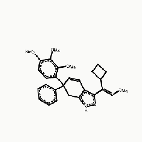 CO/N=C(/c1n[nH]c2c1C=CC(c1ccccc1)(c1ccc(OC)c(OC)c1OC)C2)C1CCC1